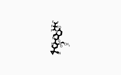 CCS(=O)(=O)c1cc(C2(C#N)CC2)cnc1-c1cc2ccc(=O)n(C(F)C(F)(F)C(F)F)c2cn1